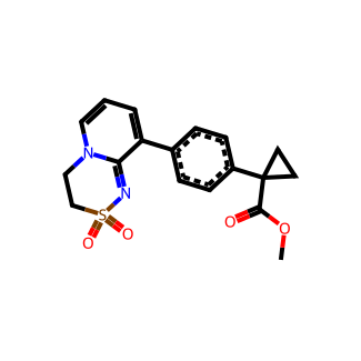 COC(=O)C1(c2ccc(C3=CC=CN4CCS(=O)(=O)N=C34)cc2)CC1